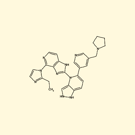 CCc1nccn1-c1nccc2[nH]c(N3C4=CNNC4=CC=C3c3cncc(CN4CCCC4)c3)nc12